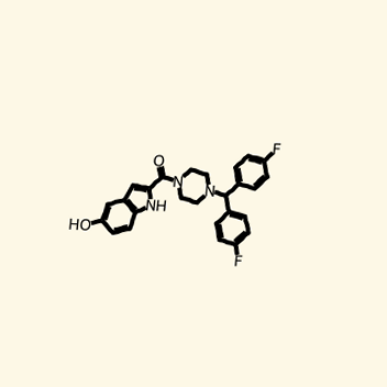 O=C(c1cc2cc(O)ccc2[nH]1)N1CCN(C(c2ccc(F)cc2)c2ccc(F)cc2)CC1